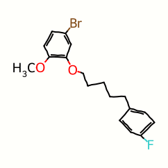 COc1ccc(Br)cc1OCCCCCc1ccc(F)cc1